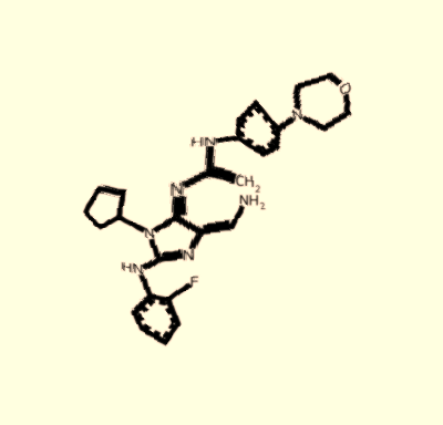 C=C(/N=C1\C(=C/N)N=C(Nc2ccccc2F)N1C1CCCC1)Nc1ccc(N2CCOCC2)cc1